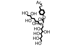 CC(=O)SCc1ccc(OCCN(C[C@H](O)[C@@H](O)[C@H](O)C[C@H](O)CO)C[C@H](O)[C@@H](O)C[C@H](O)[C@H](O)CO)cc1